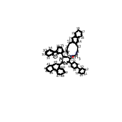 CC1C=C(c2c([C@H]3C/C=C\C=C/Cc4cc5ccccc5cc4CC3)ccc3c2oc2ccccc23)N=C(c2cc3ccccc3c3ccccc23)N=C1c1ccc(-c2ccccc2)cc1